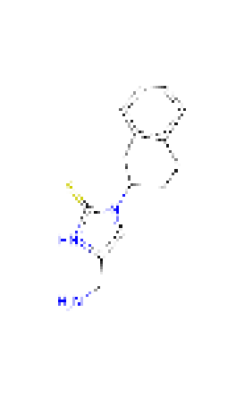 NCc1cn(C2CCc3ccccc3C2)c(=S)[nH]1